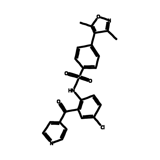 Cc1noc(C)c1-c1ccc(S(=O)(=O)Nc2ccc(Cl)cc2C(=O)c2ccncc2)cc1